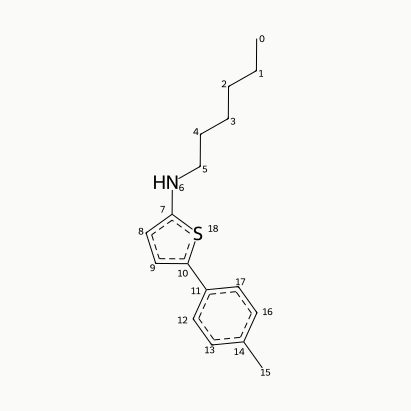 CCCCCCNc1ccc(-c2ccc(C)cc2)s1